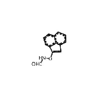 O=CNOC1=Cc2cccc3cccc1c23